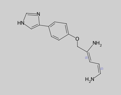 N/C=C\C=C(/N)COc1ccc(-c2c[nH]cn2)cc1